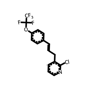 FC(F)(F)C(F)(F)Oc1ccc(C=CCc2[c]ccnc2Cl)cc1